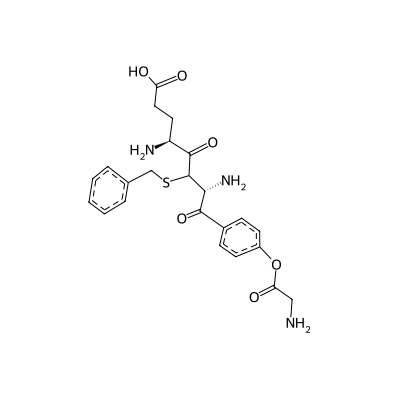 NCC(=O)Oc1ccc(C(=O)[C@@H](N)C(SCc2ccccc2)C(=O)[C@@H](N)CCC(=O)O)cc1